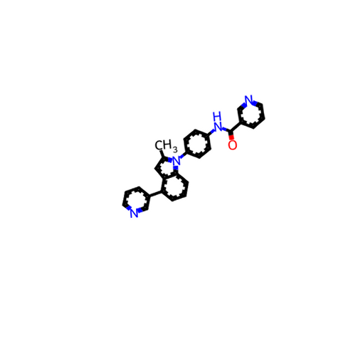 Cc1cc2c(-c3cccnc3)cccc2n1-c1ccc(NC(=O)c2cccnc2)cc1